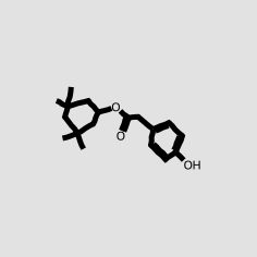 CC1(C)CC(OC(=O)Cc2ccc(O)cc2)CC(C)(C)C1